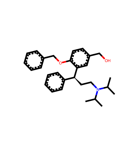 CC(C)N(CC[C@@H](c1ccccc1)c1cc(CO)ccc1OCc1ccccc1)C(C)C